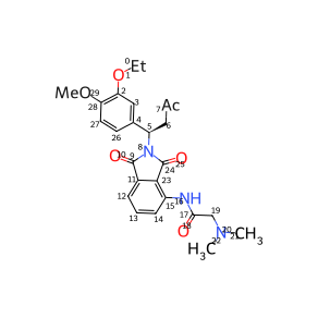 CCOc1cc([C@@H](CC(C)=O)N2C(=O)c3cccc(NC(=O)CN(C)C)c3C2=O)ccc1OC